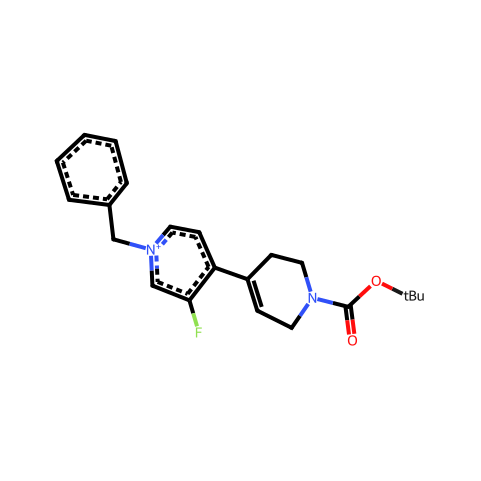 CC(C)(C)OC(=O)N1CC=C(c2cc[n+](Cc3ccccc3)cc2F)CC1